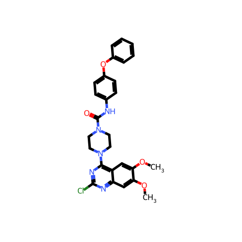 COc1cc2nc(Cl)nc(N3CCN(C(=O)Nc4ccc(Oc5ccccc5)cc4)CC3)c2cc1OC